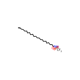 C=CCCCCCCCCCCCCCCCCCCCCC(=O)NS(=O)(=O)C(F)(F)F